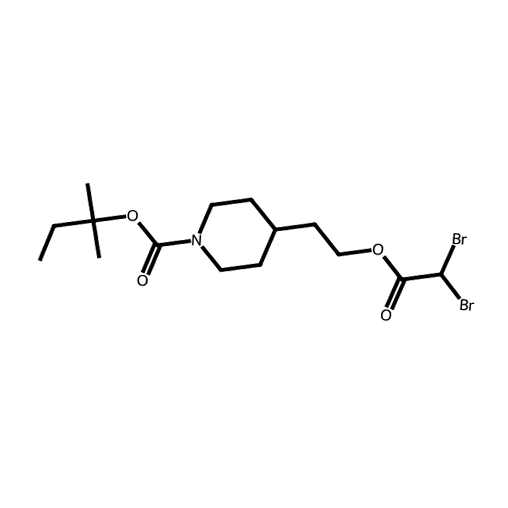 CCC(C)(C)OC(=O)N1CCC(CCOC(=O)C(Br)Br)CC1